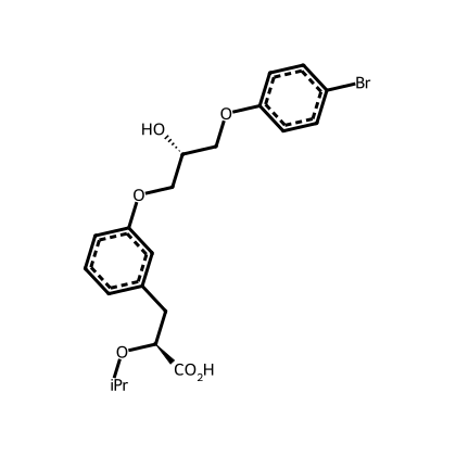 CC(C)O[C@@H](Cc1cccc(OC[C@H](O)COc2ccc(Br)cc2)c1)C(=O)O